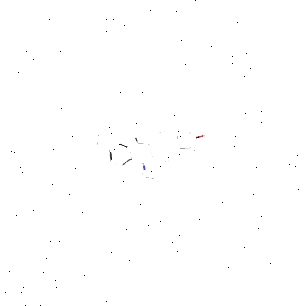 C=CC1CCC2NC(=O)NC2CCC1/C(=N\N)c1ccc(CN)cc1